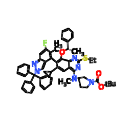 CCSc1nc(N(C)[C@H]2CCN(C(=O)OC(C)(C)C)C2)c2cc(C3CC3)c(-c3c(C)c(F)cc4nn(C(c5ccccc5)(c5ccccc5)c5ccccc5)cc34)c(O[C@@H](C)c3ccccc3)c2n1